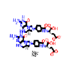 Nc1nc2c(c(=O)[nH]1)N1CN(c3ccc(C(=O)N[C@@H](CCC(=O)[O-])C(=O)O)cc3)C[C@H]1CN2.Nc1nc2c(c(=O)[nH]1)N1CN(c3ccc(C(=O)N[C@@H](CCC(=O)[O-])C(=O)O)cc3)C[C@H]1CN2.[Na+].[Na+]